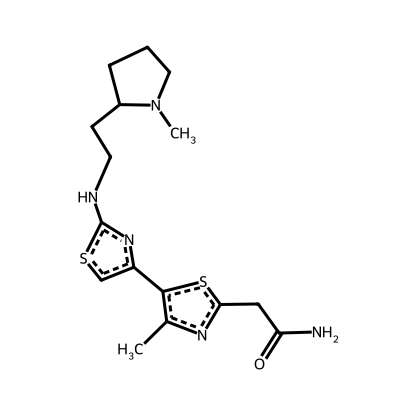 Cc1nc(CC(N)=O)sc1-c1csc(NCCC2CCCN2C)n1